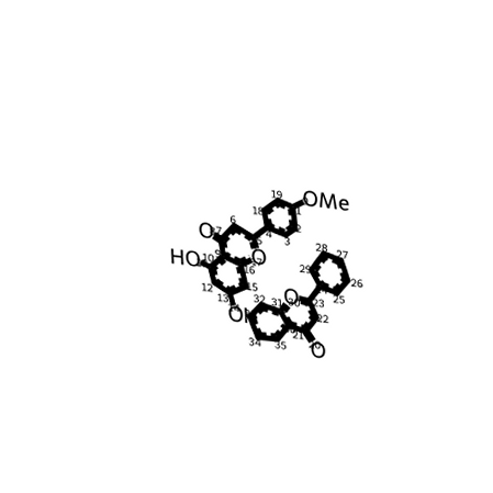 COc1ccc(-c2cc(=O)c3c(O)cc(O)cc3o2)cc1.O=c1cc(-c2ccccc2)oc2ccccc12